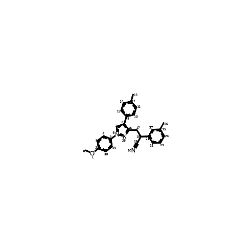 COc1ccc(-n2cc(-c3ccc(C)cc3)c(CC(C#N)c3cccc(C)c3)n2)cc1